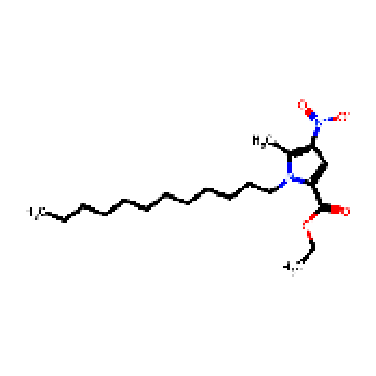 CCCCCCCCCCCCn1c(C(=O)OCC)cc([N+](=O)[O-])c1C